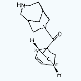 O=C(C1C[C@H]2C=C[C@@H]1CC2)N1CC2CNCC(C2)C1